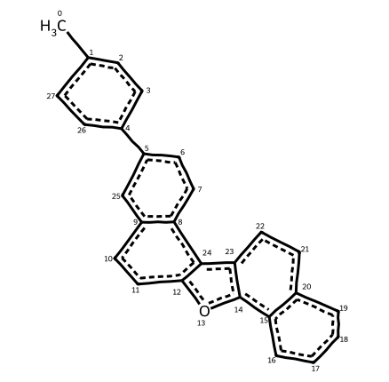 Cc1ccc(-c2ccc3c(ccc4oc5c6ccccc6ccc5c43)c2)cc1